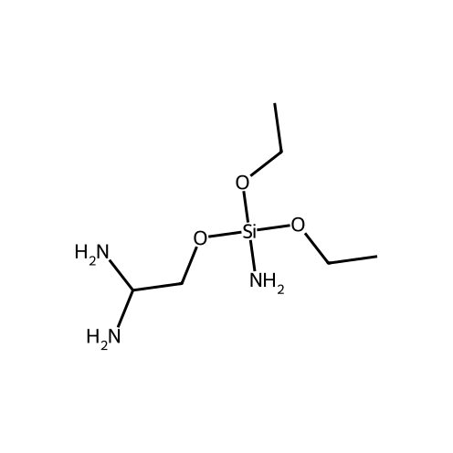 CCO[Si](N)(OCC)OCC(N)N